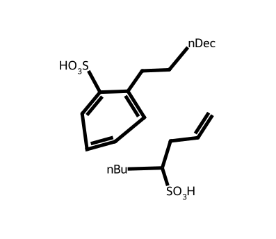 C=CCC(CCCC)S(=O)(=O)O.CCCCCCCCCCCCc1ccccc1S(=O)(=O)O